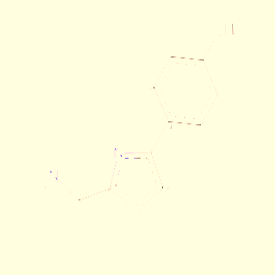 Cc1ccc(-c2csc(CN)n2)cc1